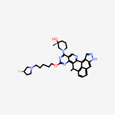 CC1c2c(ncc3c(N4CCC[C@@](C)(O)C4)nc(OCCCCCN4CC[C@@H](F)C4)nc23)-c2c3cn[nH]c3cc3cccc1c23